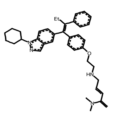 C=C(/C=C/CNCCOc1ccc(/C(=C(/CC)c2ccccc2)c2ccc3c(cnn3C3CCCCC3)c2)cc1)N(C)C